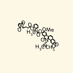 COc1cc2c(cc1OC(=O)N(C)c1ccccc1OC(=O)CCCN1C(=O)C=CC1=O)c(=O)n(CCN(C)C)c1c3cc4c(cc3ccc21)OCO4